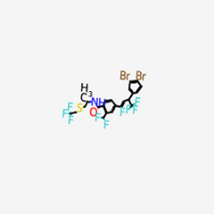 C[C@H](CSCC(F)(F)F)NC(=O)c1ccc(/C(F)=C/C(c2ccc(Br)c(Br)c2)C(F)(F)F)cc1C(F)F